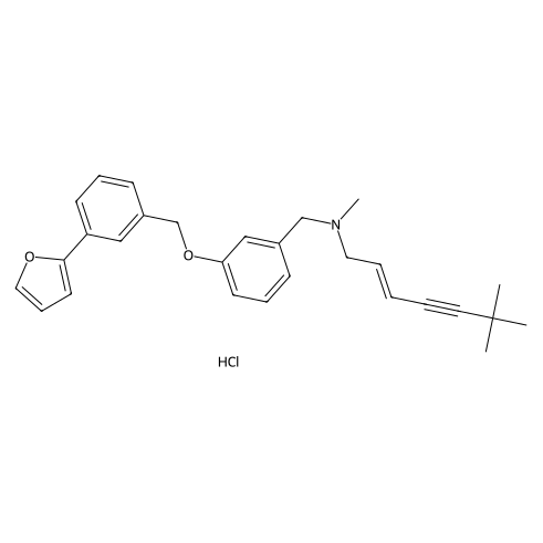 CN(C/C=C/C#CC(C)(C)C)Cc1cccc(OCc2cccc(-c3ccco3)c2)c1.Cl